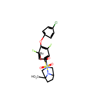 CC(C)(C)OC(=O)N1CC2CCC(C(=O)O)(C1)N2S(=O)(=O)c1cc(F)c(Oc2ccc(Cl)cc2)c(F)c1